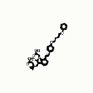 Cc1c(CC2(CC(=O)O)CC2)c2cccc(/C=C/c3ccc(OCCCCOc4ccccc4)cc3)c2n1CC(=O)O